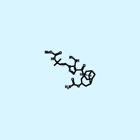 COC(=O)NC(C)(C)/C=C/n1ncc(C(=O)N[C@@H]2C3CC4CC(OC(N)=O)CC2C(C4)C3)c1NC(C)C